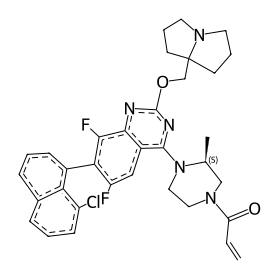 C=CC(=O)N1CCN(c2nc(OCC34CCCN3CCC4)nc3c(F)c(-c4cccc5cccc(Cl)c45)c(F)cc23)[C@@H](C)C1